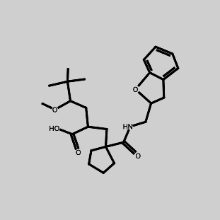 COC(CC(CC1(C(=O)NCC2Cc3ccccc3O2)CCCC1)C(=O)O)C(C)(C)C